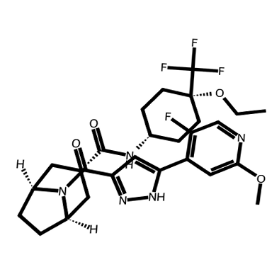 CCO[C@]1(C(F)(F)F)CC[C@H](NC(=O)[C@@H]2C[C@H]3CC[C@@H](C2)N3C(=O)c2cc(-c3cc(OC)ncc3F)[nH]n2)CC1